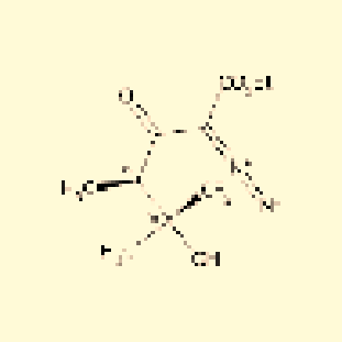 CCOC(=O)C(=[N+]=[N-])C(=O)[C@H](C)[C@@](C)(O)C(F)(F)F